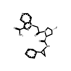 NC(=O)c1nn(CC(=O)N2C[C@H](F)C[C@H]2C(=O)NC2CC2c2ccccc2)c2ccncc12